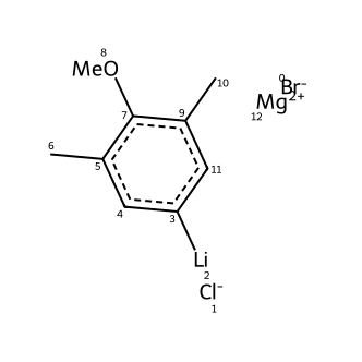 [Br-].[Cl-].[Li][c]1cc(C)c(OC)c(C)c1.[Mg+2]